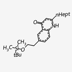 CCCCCCCc1cc(=O)c2cc(CCO[Si](C)(C)C(C)(C)C)ccc2[nH]1